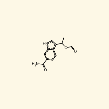 CC(OC=O)c1c[nH]c2cc(C(N)=O)ccc12